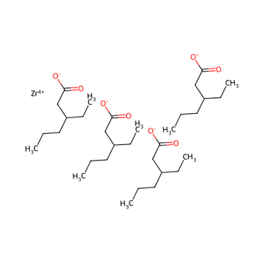 CCCC(CC)CC(=O)[O-].CCCC(CC)CC(=O)[O-].CCCC(CC)CC(=O)[O-].CCCC(CC)CC(=O)[O-].[Zr+4]